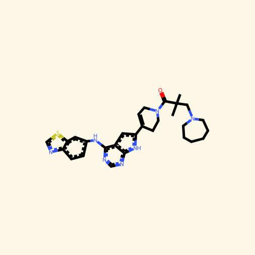 CC(C)(CN1CCCCCC1)C(=O)N1CC=C(c2cc3c(Nc4ccc5ncsc5c4)ncnc3[nH]2)CC1